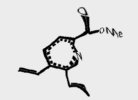 C=Cc1ccc(C(=O)OC)nc1C=C